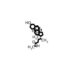 CNC(=O)CCC(C)[C@H]1CC[C@H]2[C@@H]3CC=C4C[C@@H](O)CC[C@]4(C)[C@H]3CC[C@]12C